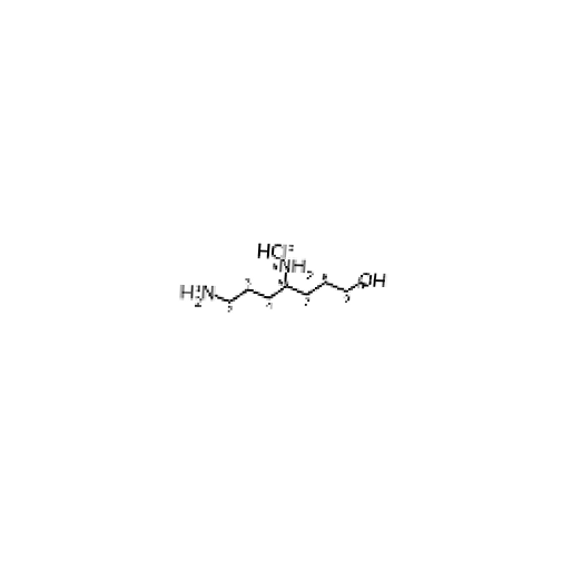 Cl.NCCCC(N)CCCO